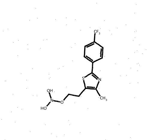 Cc1nc(-c2ccc(C(F)(F)F)cc2)sc1CCON(O)O